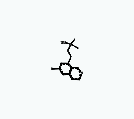 CC(C)(C)[Si](C)(C)OCc1cc(F)cc2ccncc12